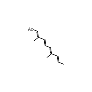 C/C=C/C(C)=C/C=C/C(C)=C/C(C)=O